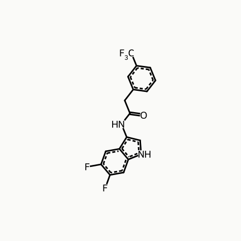 O=C(Cc1cccc(C(F)(F)F)c1)Nc1c[nH]c2cc(F)c(F)cc12